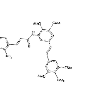 COc1cc(C=Cc2cc(OC)c(OC)c(OC)c2)cc(NC(=O)/C=C/c2ccccc2[N+](=O)[O-])c1OC